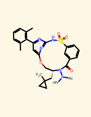 CCCN(C(C)=O)N1C(=O)c2cccc(c2)S(=O)(=O)Nc2nc(cc(-c3c(C)cccc3C)n2)OC[C@H]1CC1(C(F)(F)F)CC1